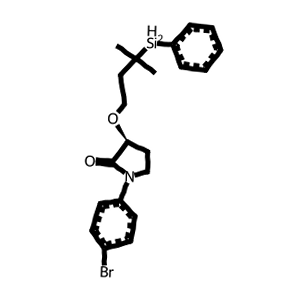 CC(C)(CCO[C@H]1CCN(c2ccc(Br)cc2)C1=O)[SiH2]c1ccccc1